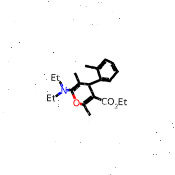 CCOC(=O)C1=C(C)OC(N(CC)CC)=C(C)C1c1ccccc1C